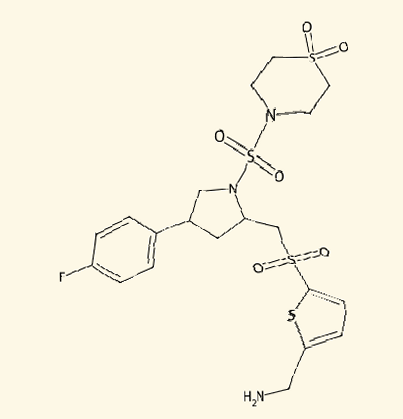 NCc1ccc(S(=O)(=O)CC2CC(c3ccc(F)cc3)CN2S(=O)(=O)N2CCS(=O)(=O)CC2)s1